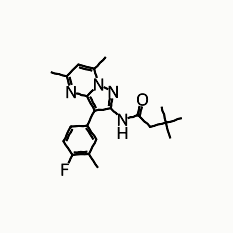 Cc1cc(C)n2nc(NC(=O)CC(C)(C)C)c(-c3ccc(F)c(C)c3)c2n1